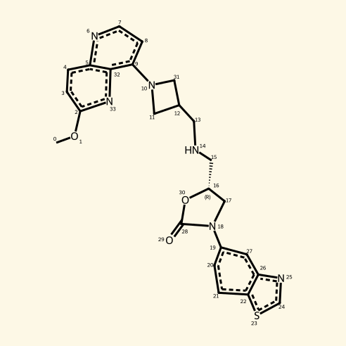 COc1ccc2nccc(N3CC(CNC[C@@H]4CN(c5ccc6scnc6c5)C(=O)O4)C3)c2n1